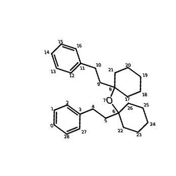 c1ccc(CCC2(OC3(CCc4ccccc4)CCCCC3)CCCCC2)cc1